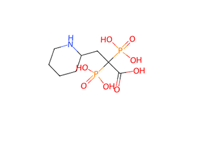 O=C(O)C(CC1CCCCN1)(P(=O)(O)O)P(=O)(O)O